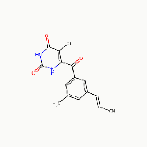 CCc1c(C(=O)c2cc(C)cc(C=CC#N)c2)[nH]c(=O)[nH]c1=O